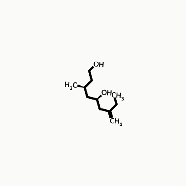 C=C(CC)C[C@H](O)C[C@@H](C)CCO